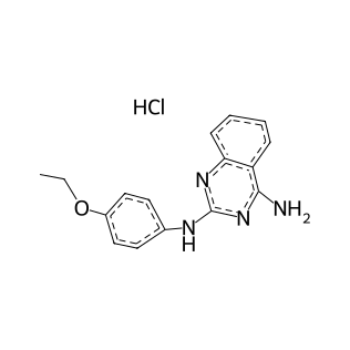 CCOc1ccc(Nc2nc(N)c3ccccc3n2)cc1.Cl